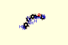 Cc1nnccc1NC(=O)c1cc2ccc(-c3nccc(NC4=CC=C5NN=CC5C4C)n3)cc2[nH]1